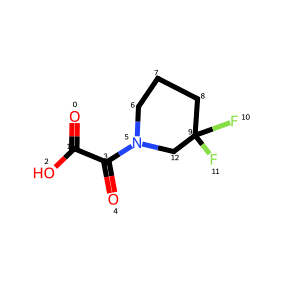 O=C(O)C(=O)N1CCCC(F)(F)C1